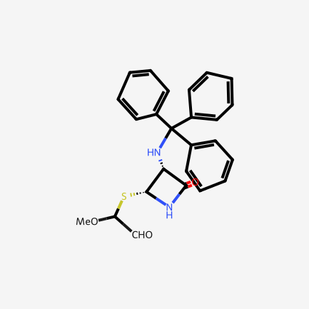 COC(C=O)S[C@H]1NC(=O)[C@H]1NC(c1ccccc1)(c1ccccc1)c1ccccc1